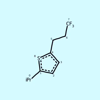 CC(C)c1ccc(CCC(F)(F)F)s1